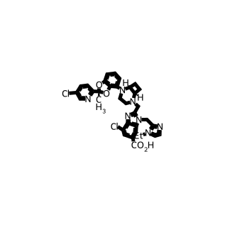 CCn1ccnc1Cn1c(CN2CCN(c3cccc4c3O[C@](C)(c3ccc(Cl)cn3)O4)[C@@H]3CC[C@H]32)nc2c(Cl)cc(C(=O)O)cc21